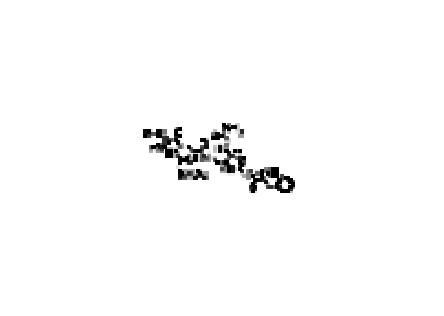 CCCN(C=O)C(=O)[C@H](CCC(=O)NCC[C@H](NC(=O)CNC(=O)[C@H](N)Cc1ccccc1)C(=O)NCC(N)=O)NC(=O)CNC(C)=O